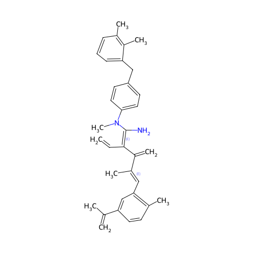 C=C/C(C(=C)/C(C)=C/c1cc(C(=C)C)ccc1C)=C(/N)N(C)c1ccc(Cc2cccc(C)c2C)cc1